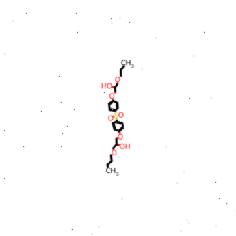 CCCCOCC(O)COc1ccc(S(=O)(=O)c2ccc(OCC(O)COCCCC)cc2)cc1